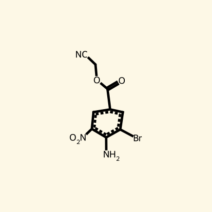 N#CCOC(=O)c1cc(Br)c(N)c([N+](=O)[O-])c1